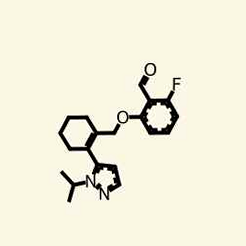 CC(C)n1nccc1C1=C(COc2cccc(F)c2C=O)CCCC1